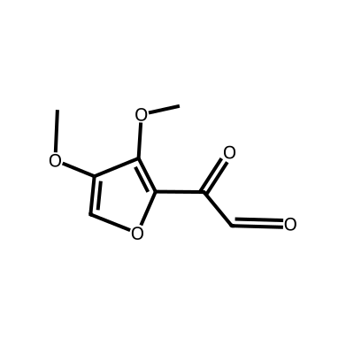 COc1coc(C(=O)C=O)c1OC